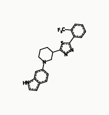 FC(F)(F)c1ccccc1-c1nnc(C2CCCN(c3ccc4cc[nH]c4c3)C2)s1